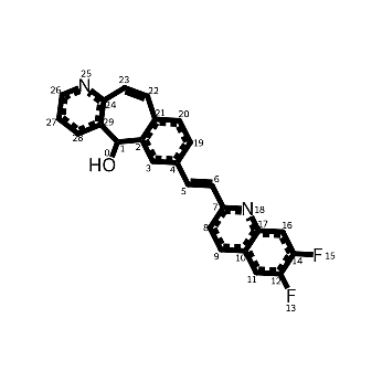 OC1c2cc(/C=C/c3ccc4cc(F)c(F)cc4n3)ccc2C=Cc2ncccc21